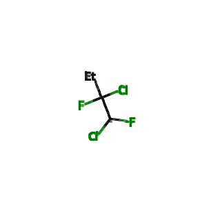 [CH2]CC(F)(Cl)[C](F)Cl